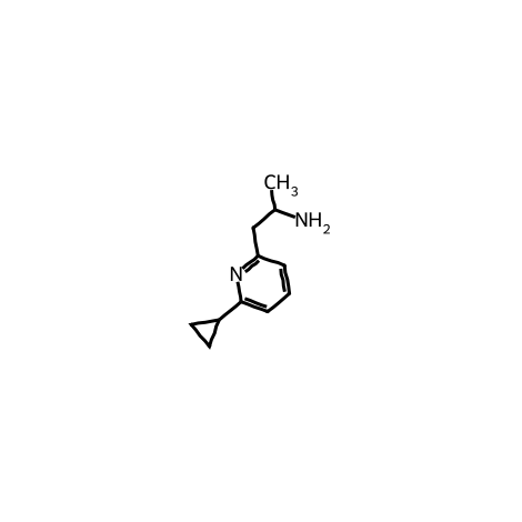 CC(N)Cc1cccc(C2CC2)n1